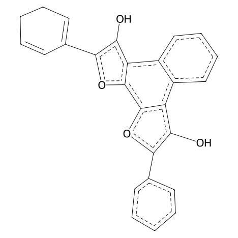 Oc1c(C2=CCCC=C2)oc2c3oc(-c4ccccc4)c(O)c3c3ccccc3c12